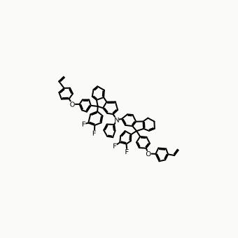 C=Cc1ccc(Oc2ccc(C3(c4ccc(F)c(F)c4)C4=C(CCC=C4)c4ccc(N(c5ccccc5)c5ccc6c(c5)C(c5ccc(Oc7ccc(C=C)cc7)cc5)(c5ccc(F)c(F)c5)c5ccccc5-6)cc43)cc2)cc1